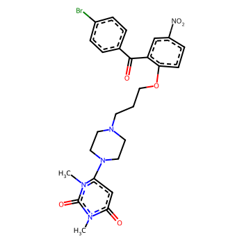 Cn1c(N2CCN(CCCOc3ccc([N+](=O)[O-])cc3C(=O)c3ccc(Br)cc3)CC2)cc(=O)n(C)c1=O